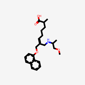 COCC(C)NCC(=CCCCC(C)C(=O)O)COc1cccc2ccccc12